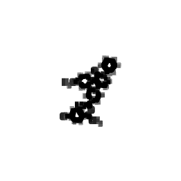 COc1ccc(Cl)cc1NC(=O)N1CCN(c2cnn(-c3ccccc3)c(=O)c2N2CCN(C)CC2)CC1